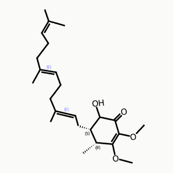 COC1=C(OC)[C@H](C)[C@H](C/C=C(\C)CC/C=C(\C)CCC=C(C)C)C(O)C1=O